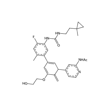 C=C1C(OCCO)=CC(c2cc(NC(=O)NCCC3(C)CC3)c(F)cc2C)=CC1c1ccnc(NC(C)=O)c1